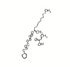 C=C(CCCCCCCCC)OOOOOOOOOc1ccccc1.C=CC(=O)O